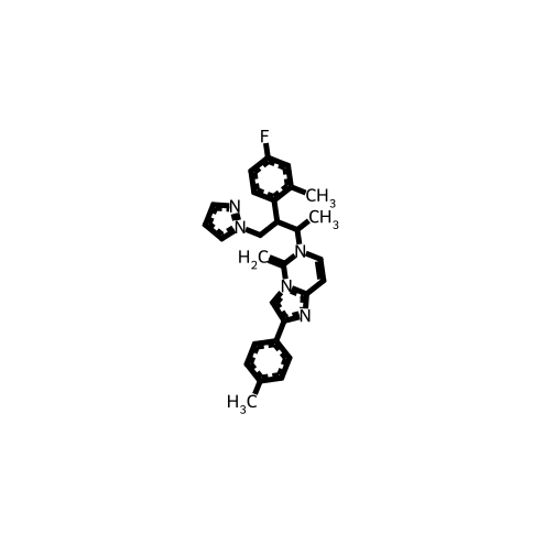 C=C1N(C(C)C(Cn2cccn2)c2ccc(F)cc2C)C=Cc2nc(-c3ccc(C)cc3)cn21